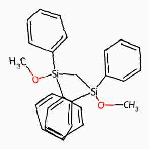 CO[Si](C[Si](OC)(c1ccccc1)c1ccccc1)(c1ccccc1)c1ccccc1